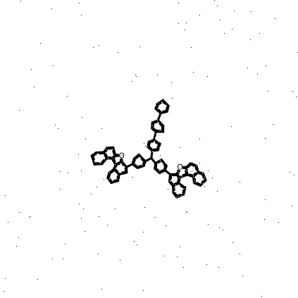 c1ccc(-c2ccc(-c3ccc(C(c4ccc(-c5cc6ccccc6c6c5oc5ccc7ccccc7c56)cc4)c4ccc(-c5cc6ccccc6c6c5oc5ccc7ccccc7c56)cc4)cc3)cc2)cc1